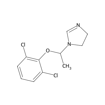 CC(Oc1c(Cl)cccc1Cl)N1C=NCC1